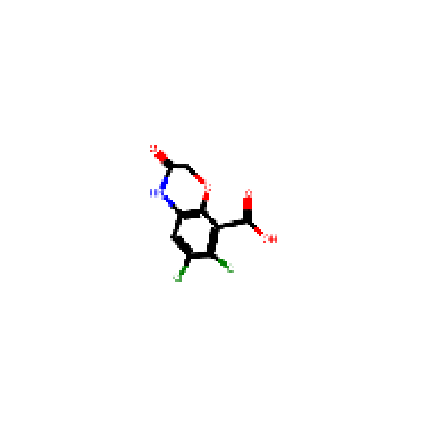 O=C1COc2c(cc(Cl)c(Cl)c2C(=O)O)N1